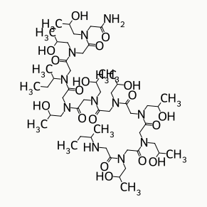 CCC(C)NCC(=O)N(CC(=O)N(CC(=O)N(CC(=O)N(CC(=O)N(CC(=O)N(CC(=O)N(CC(=O)N(CC(=O)N(CC(N)=O)CC(C)O)CC(C)O)C(C)CC)CC(C)O)CC(C)O)CC(C)O)CC(C)O)CC(C)O)CC(C)O